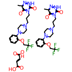 Cc1n[nH]c(=O)n(CCCN2CCN(c3ccccc3OCC(F)(F)F)CC2)c1=O.Cc1n[nH]c(=O)n(CCCN2CCN(c3ccccc3OCC(F)(F)F)CC2)c1=O.O=C(O)/C=C/C(=O)O